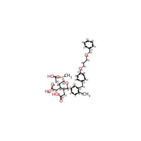 CS[C@H]1O[C@H](c2ccc(C)c(Cc3ccc(OCCCOCc4ccccc4)cc3)c2)[C@@H](CC(=O)O)[C@@H](CC(=O)O)[C@@H]1CC(=O)O